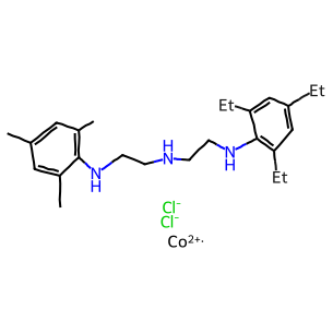 CCc1cc(CC)c(NCCNCCNc2c(C)cc(C)cc2C)c(CC)c1.[Cl-].[Cl-].[Co+2]